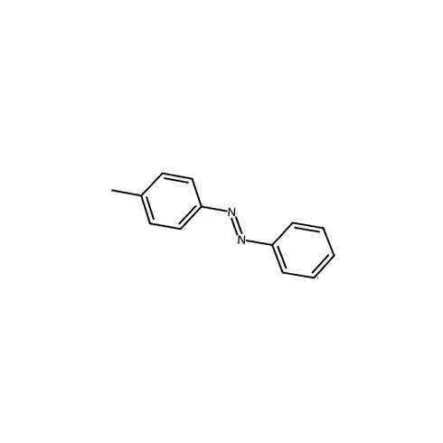 Cc1ccc(N=Nc2c[c]ccc2)cc1